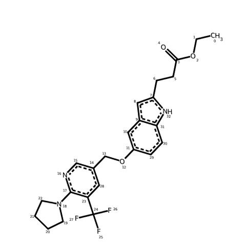 CCOC(=O)CCc1cc2cc(OCc3cnc(N4CCCC4)c(C(F)(F)F)c3)ccc2[nH]1